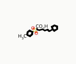 Cc1ccc(S(=O)(=O)C(CCCC=Cc2ccccc2)C(=O)O)cc1